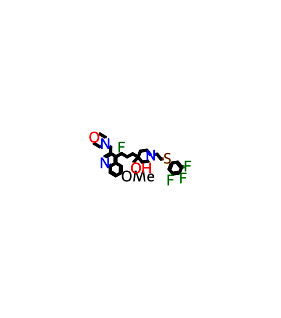 COc1ccc2ncc(CN3CCOCC3)c([C@H](F)CCC3(CO)CCN(CCSc4cc(F)c(F)c(F)c4)CC3)c2c1